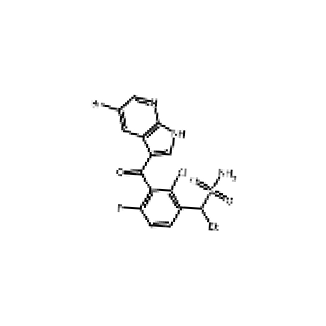 CCC(c1ccc(F)c(C(=O)c2c[nH]c3ncc(Br)cc23)c1Cl)S(N)(=O)=O